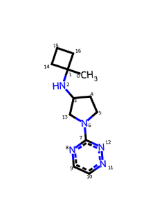 CC1(NC2CCN(c3nccnn3)C2)CCC1